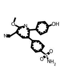 COc1nc(-c2ccc(O)cc2)c(-c2ccc(S(N)(=O)=O)cc2)cc1C#N